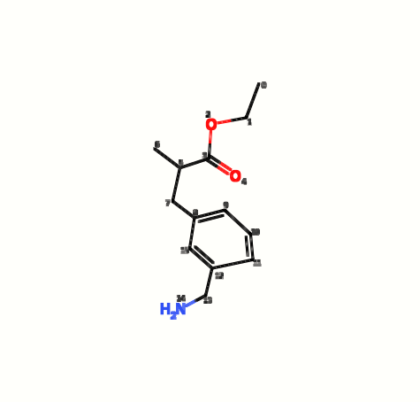 CCOC(=O)C(C)Cc1cccc(CN)c1